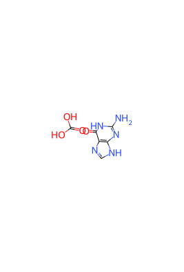 Nc1nc2[nH]cnc2c(=O)[nH]1.O=C(O)O